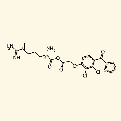 N=C(N)NCCC[C@H](N)C(=O)OC(=O)COc1ccc(C(=O)c2cccs2)c(Cl)c1Cl